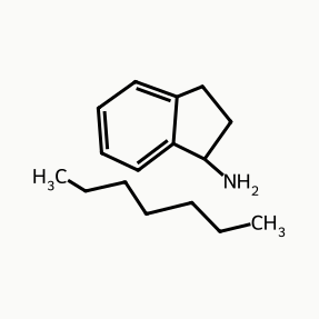 CCCCCCC.NC1CCc2ccccc21